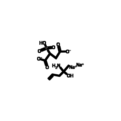 C=CCC(C)(N)O.O=C([O-])CC(C(=O)[O-])S(=O)(=O)O.[Na+].[Na+]